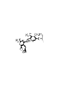 COc1c(C)cnc(CNc2nc(N)nc(Cl)c2CC2CO2)c1C